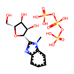 Cn1c([C@@H]2O[C@H](CO)[C@@H](O)[C@H]2O)nc2ccccc21.O=P(O)(O)OP(=O)(O)OP(=O)(O)O